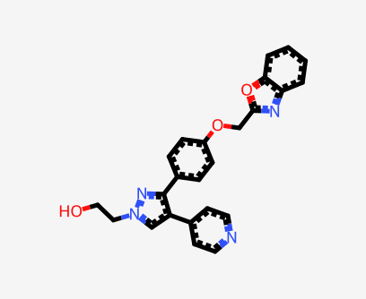 OCCn1cc(-c2ccncc2)c(-c2ccc(OCc3nc4ccccc4o3)cc2)n1